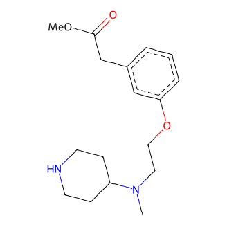 COC(=O)Cc1cccc(OCCN(C)C2CCNCC2)c1